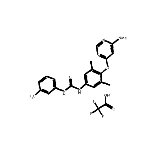 CNc1cc(Oc2c(C)cc(NC(=O)Nc3cccc(C(F)(F)F)c3)cc2C)ncn1.O=C(O)C(F)(F)F